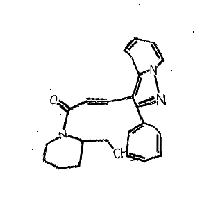 CCC1CCCCN1C(=O)C#Cc1c(-c2ccccc2)nn2ccccc12